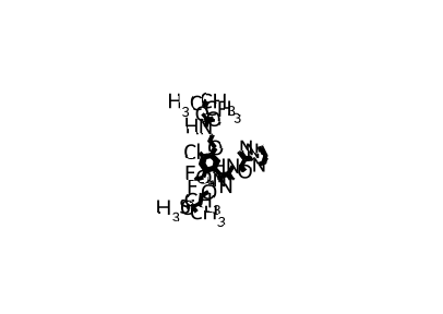 CC(C)(C)OC(=O)NCCOc1cc(-c2c(NC(=O)c3cnn4cccnc34)cnn2COCC[Si](C)(C)C)c(OC(F)F)cc1Cl